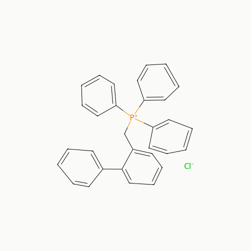 [Cl-].c1ccc(-c2ccccc2C[P+](c2ccccc2)(c2ccccc2)c2ccccc2)cc1